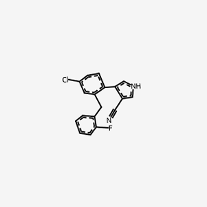 N#Cc1c[nH]cc1-c1ccc(Cl)cc1Cc1ccccc1F